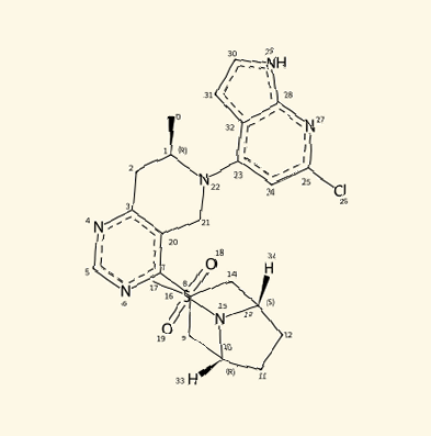 C[C@@H]1Cc2ncnc(C3C[C@H]4CC[C@@H](C3)N4S(C)(=O)=O)c2CN1c1cc(Cl)nc2[nH]ccc12